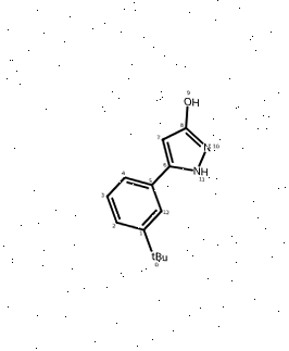 CC(C)(C)c1cccc(-c2cc(O)n[nH]2)c1